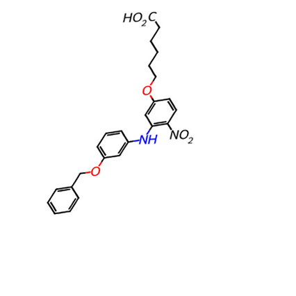 O=C(O)CCCCCOc1ccc([N+](=O)[O-])c(Nc2cccc(OCc3ccccc3)c2)c1